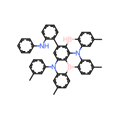 Cc1cccc(N2c3cc(C)ccc3B3c4ccc(C)cc4N4c5cc(C)ccc5Bc5c(-c6ccccc6Nc6ccccc6)cc2c3c54)c1